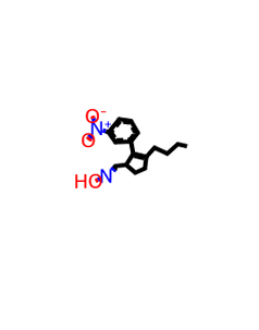 CCCCC1=C(c2cccc([N+](=O)[O-])c2)C(C=NO)CC1